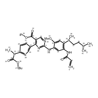 C=CC(=O)Nc1cc(Nc2ncc(C(=O)OC(C)C)c(-c3ccc(N(C)C(=O)OC(C)(C)C)nc3)n2)c(OC)cc1N(C)CCN(C)C